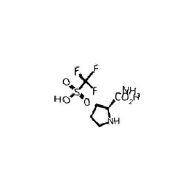 N.O=C(O)[C@@H]1CCCN1.O=S(=O)(O)C(F)(F)F